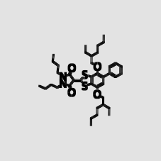 CCCCC(CC)COc1cc(-c2ccccc2)c(OCC(CC)CCCC)c2c1SC(=C1C(=O)N(CCCC)N(CCCC)C1=O)S2